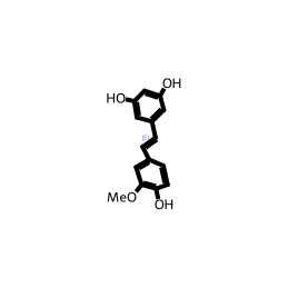 COc1cc(/C=C/c2cc(O)cc(O)c2)ccc1O